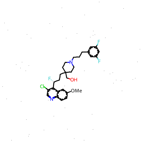 COc1ccc2ncc(Cl)c([C@H](F)CCC3(CO)CCN(CCCc4cc(F)cc(F)c4)CC3)c2c1